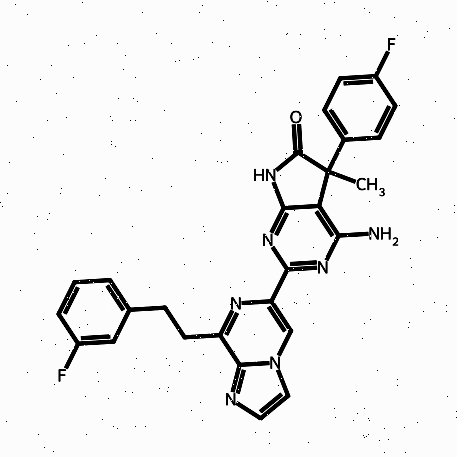 CC1(c2ccc(F)cc2)C(=O)Nc2nc(-c3cn4ccnc4c(CCc4cccc(F)c4)n3)nc(N)c21